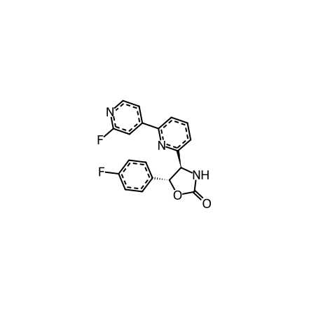 O=C1N[C@H](c2cccc(-c3ccnc(F)c3)n2)[C@@H](c2ccc(F)cc2)O1